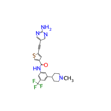 CN1CCC(c2cc(NC(=O)c3csc(C#Cc4cnc(N)nc4)c3)cc(C(F)(F)F)c2)CC1